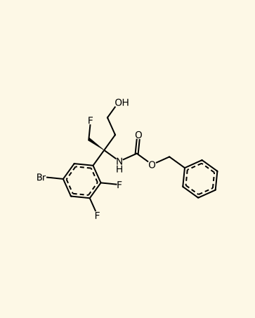 O=C(N[C@@](CF)(CCO)c1cc(Br)cc(F)c1F)OCc1ccccc1